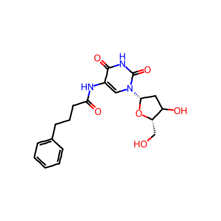 O=C(CCCc1ccccc1)Nc1cn([C@@H]2CC(O)[C@H](CO)O2)c(=O)[nH]c1=O